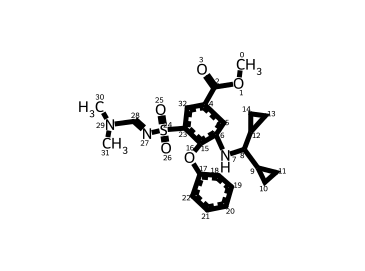 COC(=O)c1cc(NC(C2CC2)C2CC2)c(Oc2ccccc2)c(S(=O)(=O)/N=C/N(C)C)c1